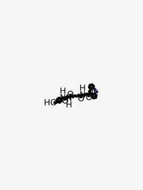 C/C1=C/c2ccccc2CN(C(=O)CCNC(=O)CCCCC(=O)NCC(=O)Nc2ccc(CO)cc2)c2ccccc21